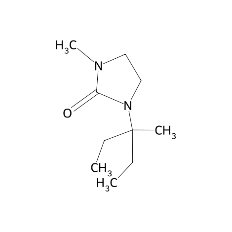 CCC(C)(CC)N1CCN(C)C1=O